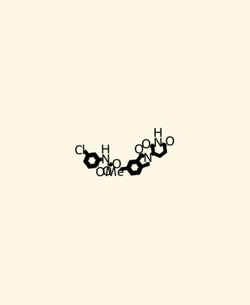 COc1ccc(Cl)cc1NC(=O)OCc1ccc2c(c1)C(=O)N(C1CCC(=O)NC1=O)C2